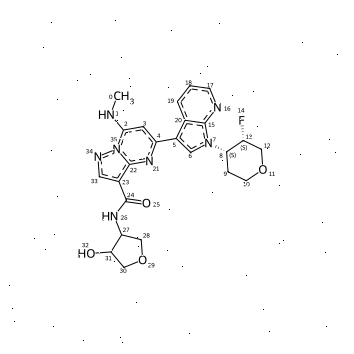 CNc1cc(-c2cn([C@H]3CCOC[C@H]3F)c3ncccc23)nc2c(C(=O)NC3COCC3O)cnn12